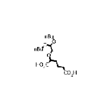 CCCCOC(COC(CCCC(=O)O)C(=O)O)OCCCC